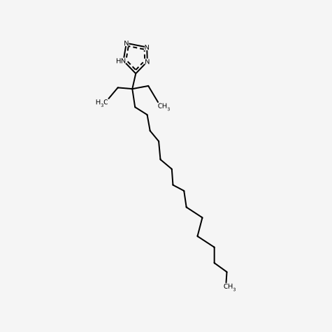 CCCCCCCCCCCCCCCC(CC)(CC)c1nnn[nH]1